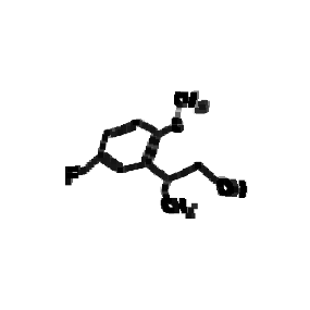 [CH2]C(CO)c1cc(F)ccc1OC